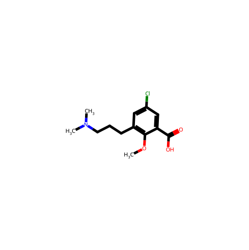 COc1c(CCCN(C)C)cc(Cl)cc1C(=O)O